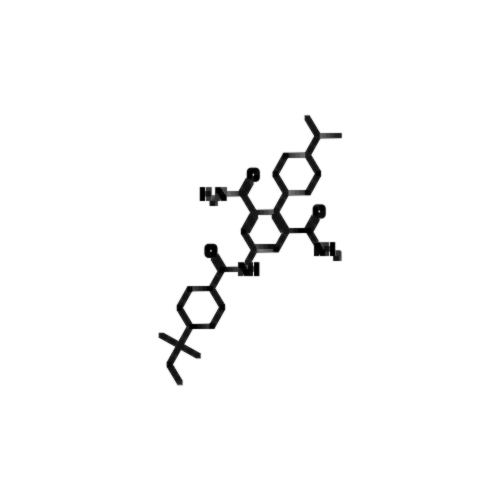 CCC(C)(C)C1CCC(C(=O)Nc2cc(C(N)=O)c(C3CCC(C(C)C)CC3)c(C(N)=O)c2)CC1